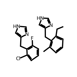 CCc1cccc(C)c1Cc1c[nH]cn1.Fc1cccc(Cl)c1Cc1c[nH]cn1